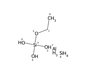 CCO[Si](O)(O)O.[AlH3].[SiH4]